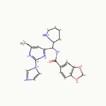 Cc1cc(C(NC(=O)c2ccc3c(c2)OCO3)C2CCCCN2)nc(-n2ccnc2)n1